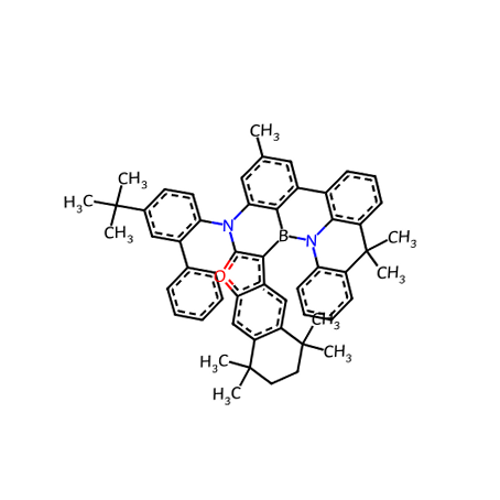 Cc1cc2c3c(c1)N(c1ccc(C(C)(C)C)cc1-c1ccccc1)c1oc4cc5c(cc4c1B3N1c3ccccc3C(C)(C)c3cccc-2c31)C(C)(C)CCC5(C)C